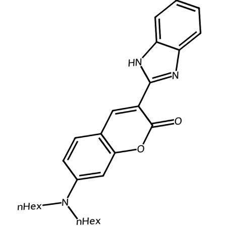 CCCCCCN(CCCCCC)c1ccc2cc(-c3nc4ccccc4[nH]3)c(=O)oc2c1